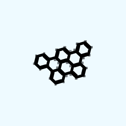 c1ccc2c(c1)c1cccc3c4cccc5c6ccccc6c6ccc2c(c13)c6c54